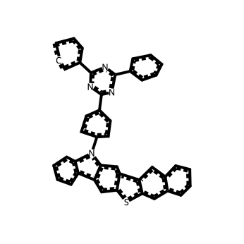 c1ccc(-c2nc(-c3ccccc3)nc(-c3ccc(-n4c5ccccc5c5cc6sc7cc8ccccc8cc7c6cc54)cc3)n2)cc1